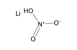 O=[N+]([O-])O.[Li]